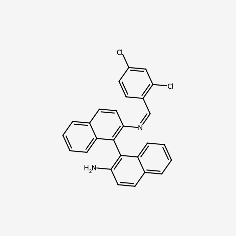 Nc1ccc2ccccc2c1-c1c(/N=C\c2ccc(Cl)cc2Cl)ccc2ccccc12